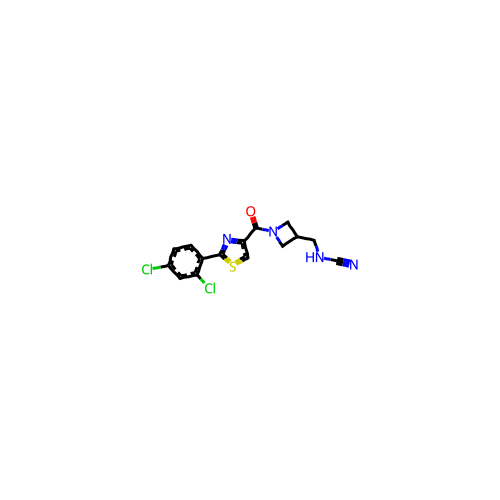 N#CNCC1CN(C(=O)c2csc(-c3ccc(Cl)cc3Cl)n2)C1